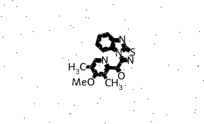 COc1c(C)cnc(C(=O)c2nsc3nc4ccccc4n23)c1C